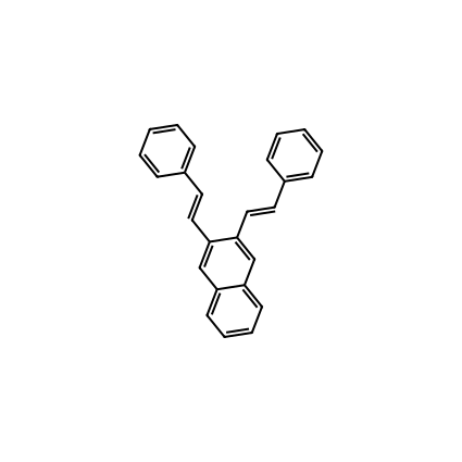 C(=Cc1cc2ccccc2cc1C=Cc1ccccc1)c1ccccc1